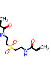 C=CC(=O)NCCS(=O)(=O)CCNC(=O)C=C